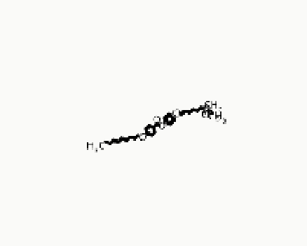 CCCCCCCCCCOc1ccc(C(=O)Oc2ccc(OCCCCCC[Si](C)(C)CC)cc2)cc1